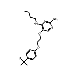 CCCCNc1nc(N)ncc1OCCOc1ccc(C(F)(F)F)cc1